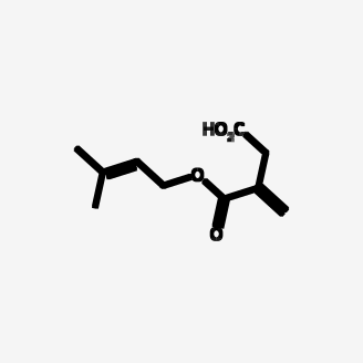 C=C(CC(=O)O)C(=O)OCC=C(C)C